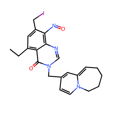 CCc1cc(CI)c(N=O)c2ncn(CC3=CC4=CCCCCN4C=C3)c(=O)c12